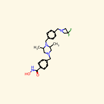 CC1CN(Cc2ccc(C(=O)NO)cc2)CC(C)N1Cc1ccc(CN2CC(F)(F)C2)cc1